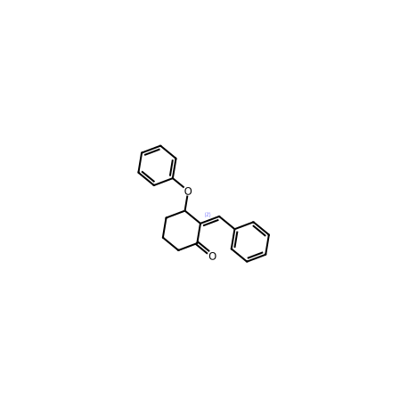 O=C1CCCC(Oc2ccccc2)/C1=C/c1ccccc1